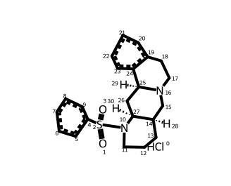 Cl.O=S(=O)(c1ccccc1)N1CCC[C@@H]2CN3CCc4ccccc4[C@@H]3C[C@@H]21